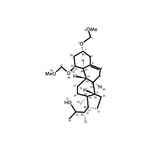 COCO[C@@H]1CC2=CC[C@H]3[C@@H]4CC[C@H]([C@H](C)C(C)O)[C@@]4(C)CC[C@@H]3[C@@]2(C)[C@@H](OCOC)C1